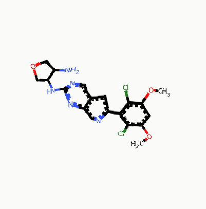 COc1cc(OC)c(Cl)c(-c2cc3cnc(NC4COCC4N)nc3cn2)c1Cl